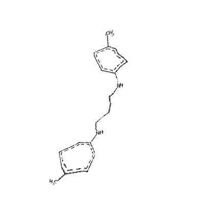 Cc1ccc(NCCCNc2ccc(C)cc2)cc1